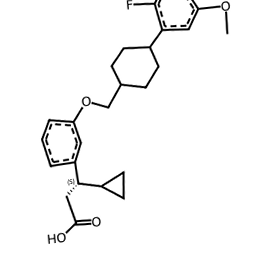 COc1cc(C2CCC(COc3cccc([C@@H](CC(=O)O)C4CC4)c3)CC2)c(F)cn1